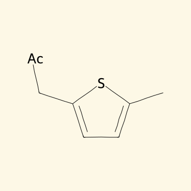 CC(=O)Cc1ccc(C)s1